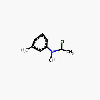 Cc1cccc(N(C)C(C)Cl)c1